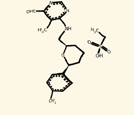 CCS(=O)(=O)O.Cc1ccc([C@@H]2CCC[C@H](CNc3ncnc(C=O)c3C)O2)cc1